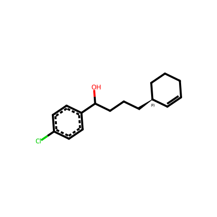 OC(CCC[C@@H]1C=CCCC1)c1ccc(Cl)cc1